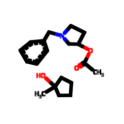 CC(=O)OC1CCN(Cc2ccccc2)C1.CC1(O)CCCC1